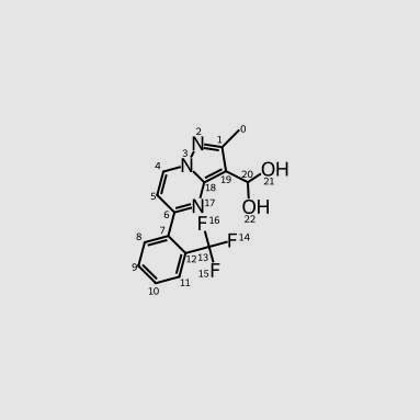 Cc1nn2ccc(-c3ccccc3C(F)(F)F)nc2c1C(O)O